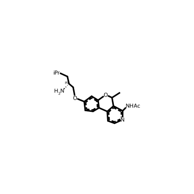 CC(=O)Nc1nccc2c1C(C)Oc1cc(OC[C@H](N)CC(C)C)ccc1-2